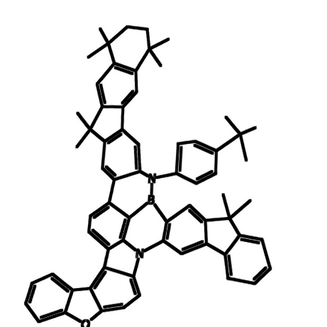 CC(C)(C)c1ccc(N2B3c4cc5c(cc4-n4c6ccc7oc8ccccc8c7c6c6ccc(c3c64)-c3cc4c(cc32)-c2cc3c(cc2C4(C)C)C(C)(C)CCC3(C)C)-c2ccccc2C5(C)C)cc1